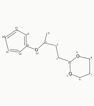 C[C](CCC1OCCCO1)Oc1ccccc1